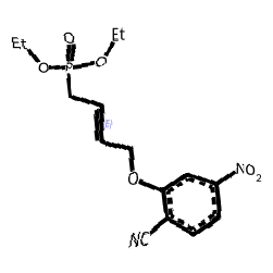 CCOP(=O)(C/C=C/COc1cc([N+](=O)[O-])ccc1C#N)OCC